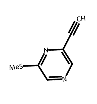 C#Cc1cncc(SC)n1